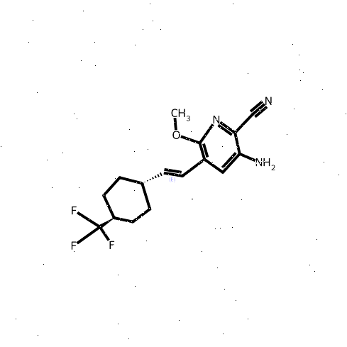 COc1nc(C#N)c(N)cc1/C=C/[C@H]1CC[C@H](C(F)(F)F)CC1